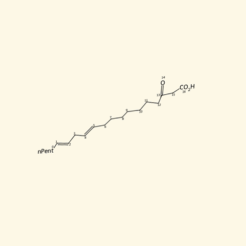 CCCCCC=CCC=CCCCCCCCC(=O)CC(=O)O